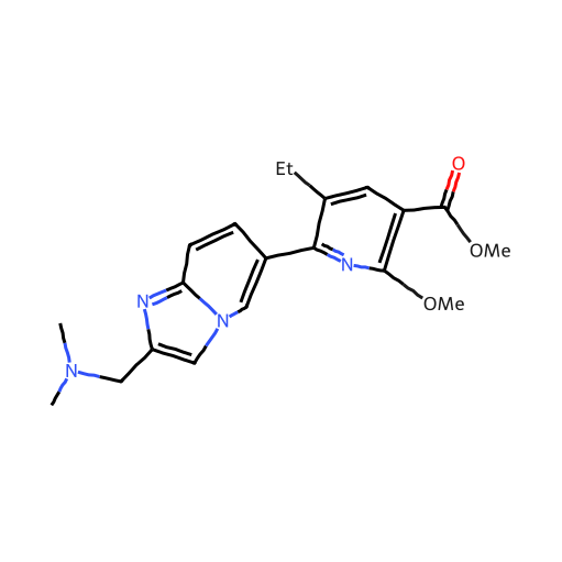 CCc1cc(C(=O)OC)c(OC)nc1-c1ccc2nc(CN(C)C)cn2c1